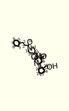 O=C(CCc1ccccc1)N1CCC(O)(Cn2cnc(-c3ccccc3CO)cc2=O)CC1